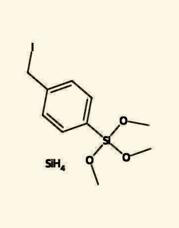 CO[Si](OC)(OC)c1ccc(CI)cc1.[SiH4]